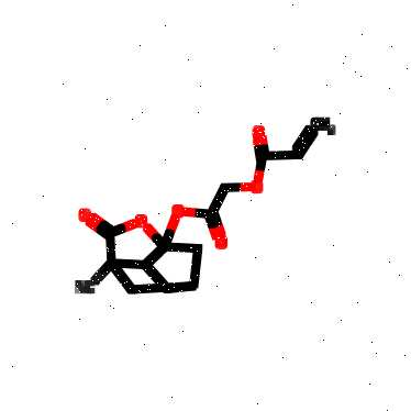 C=CC(=O)OCC(=O)OC12CC3CC1C(C#N)(C3)C(=O)O2